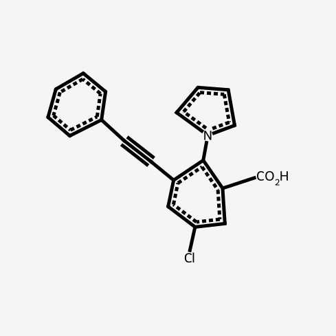 O=C(O)c1cc(Cl)cc(C#Cc2ccccc2)c1-n1cccc1